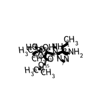 CCCc1c(N)ncnc1N(N)[C@@H]1O[C@H](COC(C)C)[C@@H](OP(=O)(O)C(C)C)[C@H]1O